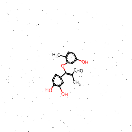 C/C(C=O)=C(/Oc1cc(O)ccc1C)c1ccc(O)c(O)c1